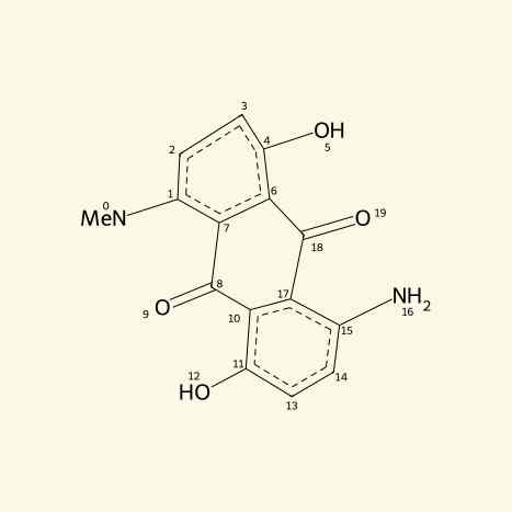 CNc1ccc(O)c2c1C(=O)c1c(O)ccc(N)c1C2=O